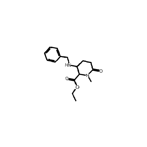 CCOC(=O)C1C(NCc2ccccc2)CCC(=O)N1C